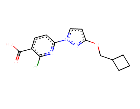 O=C(O)c1ccc(-n2ccc(OCC3CCC3)n2)nc1Cl